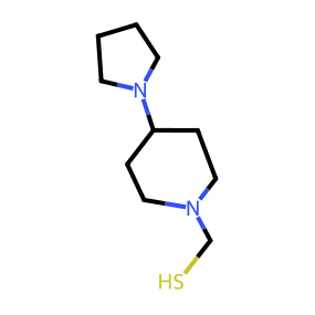 SCN1CCC(N2CCCC2)CC1